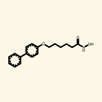 O=C(CCCCCOc1ccc(-c2ccccc2)cc1)NO